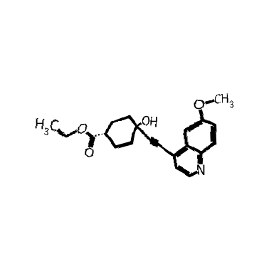 CCOC(=O)[C@H]1CC[C@@](O)(C#Cc2ccnc3ccc(OC)cc23)CC1